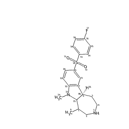 CC1CNCC[C@@H]2c3cc(S(=O)(=O)c4ccc(F)cc4)ccc3N(C)C12